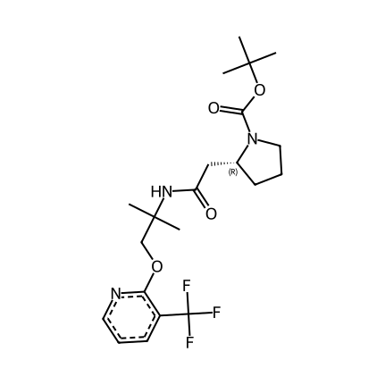 CC(C)(COc1ncccc1C(F)(F)F)NC(=O)C[C@H]1CCCN1C(=O)OC(C)(C)C